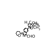 CC1(C)ON(c2ccc3c(c2)c(C=O)nn3C2CCCCO2)OC1(C)C